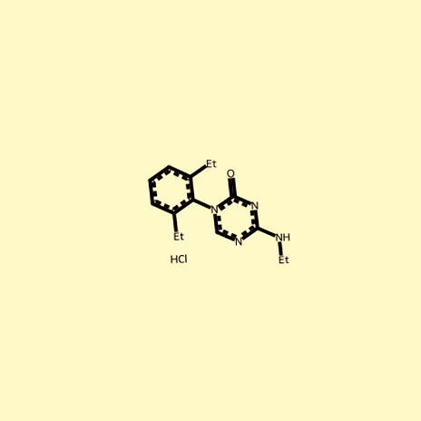 CCNc1ncn(-c2c(CC)cccc2CC)c(=O)n1.Cl